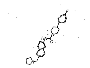 O=C(Nc1ccc2cc(CN3CCCC3)ccc2c1)N1CCC(c2ccc(F)cc2)CC1